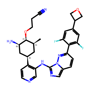 C[C@H]1C[C@@H](c2ccncc2Nc2ncc3ccc(-c4c(F)cc(C5COC5)cc4F)nn23)C[C@@H](N)[C@H]1OCCC#N